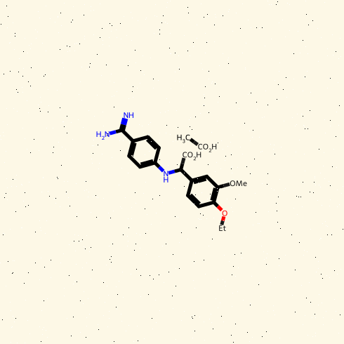 CC(=O)O.CCOc1ccc(C(Nc2ccc(C(=N)N)cc2)C(=O)O)cc1OC